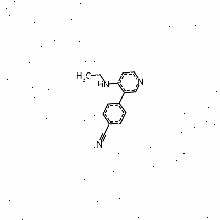 CCNc1ccncc1-c1ccc(C#N)cc1